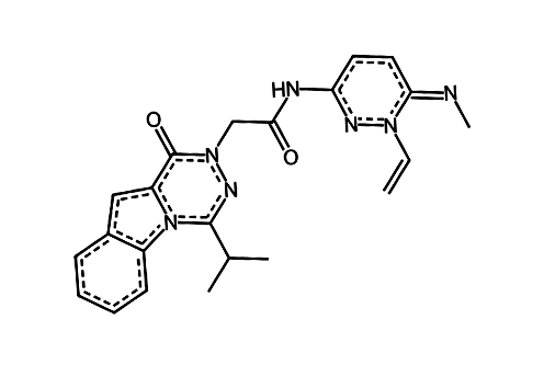 C=Cn1nc(NC(=O)Cn2nc(C(C)C)n3c(cc4ccccc43)c2=O)cc/c1=N/C